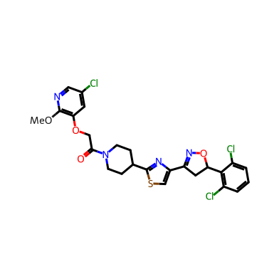 COc1ncc(Cl)cc1OCC(=O)N1CCC(c2nc(C3=NOC(c4c(Cl)cccc4Cl)C3)cs2)CC1